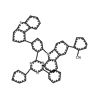 N#Cc1ccccc1-c1ccc2c(c1)c1ccccc1n2-c1ccc(-c2cccc3sc4ccccc4c23)cc1-c1nc(-c2ccccc2)nc(-c2ccccc2)n1